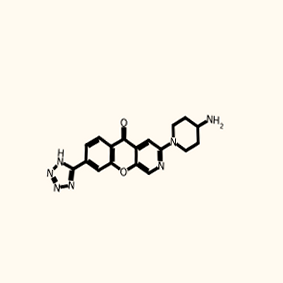 NC1CCN(c2cc3c(=O)c4ccc(-c5nnn[nH]5)cc4oc3cn2)CC1